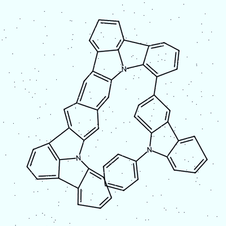 c1ccc(-n2c3ccccc3c3cc(-c4cccc5c6cccc7c8cc9cc%10c%11cccc%12c%13ccccc%13n(c%10cc9cc8n(c45)c76)c%12%11)ccc32)cc1